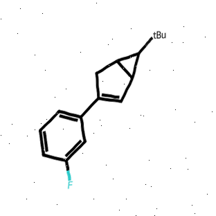 CC(C)(C)C1C2C=C(c3cccc(F)c3)CC21